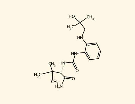 CC(C)(O)CNc1ccccc1NC(=O)N[C@H](C(N)=O)C(C)(C)C